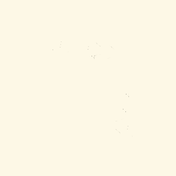 CC(C)CC(C)(C)C(=O)OCOc1ccc2ccc(OCCCCN3CCN(c4cccc(Cl)c4Cl)CC3)cc2n1